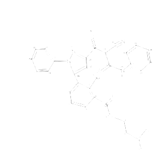 CN(C)CCOC(=O)c1cccc2c1Cc1c(C(=O)C(C#N)C(=O)Nc3ccccc3)nn(-c3ccccc3)c1-2